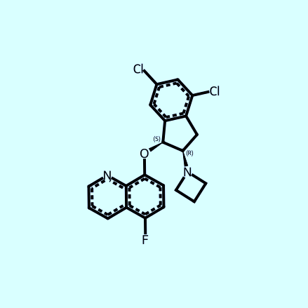 Fc1ccc(O[C@H]2c3cc(Cl)cc(Cl)c3C[C@H]2N2CCC2)c2ncccc12